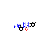 Cc1ccc(CNC(=O)Nc2cccc3[nH]ncc23)c(C)c1